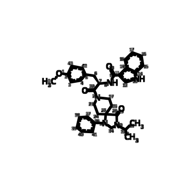 COc1ccc(C[C@@H](NC(=O)c2c[nH]c3ccccc23)C(=O)N2CCC3(CC2)C(=O)N(C(C)C)CN3c2ccccc2)cc1